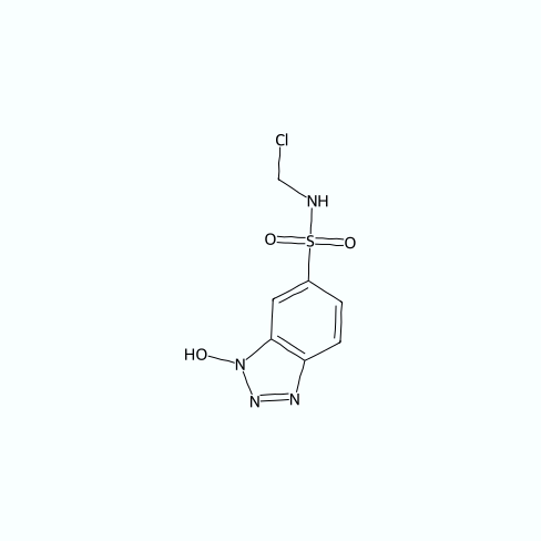 O=S(=O)(NCCl)c1ccc2nnn(O)c2c1